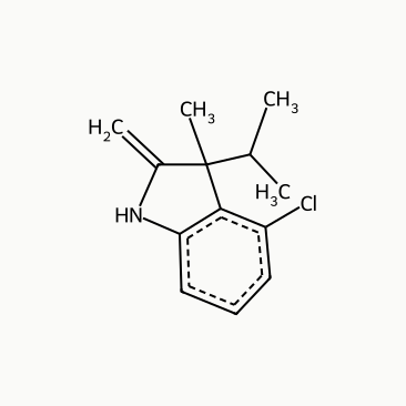 C=C1Nc2cccc(Cl)c2C1(C)C(C)C